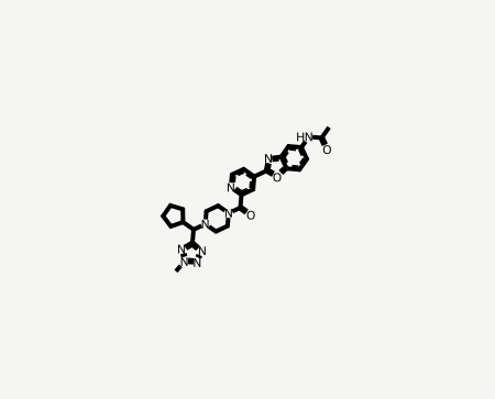 CC(=O)Nc1ccc2oc(-c3ccnc(C(=O)N4CCN(C(c5nnn(C)n5)C5CCCC5)CC4)c3)nc2c1